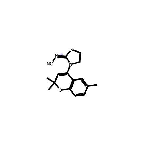 Cc1ccc2c(c1)C(N1CCS/C1=N/C#N)=CC(C)(C)O2